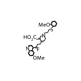 COc1ccc2nccc([C@H](F)CC[C@@H]3CCN(CCCSc4ccccc4OC)C[C@@H]3CC(=O)O)c2c1